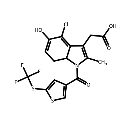 CC1=C(CC(=O)O)C2=C(Cl)C(O)=CCC2N1C(=O)c1csc(SC(F)(F)F)c1